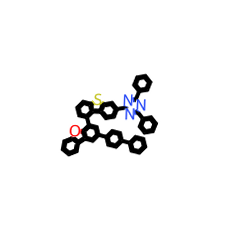 c1ccc(-c2ccc(-c3cc(-c4cccc5sc6cc(-c7nc(-c8ccccc8)nc(-c8ccccc8)n7)ccc6c45)c4oc5ccccc5c4c3)cc2)cc1